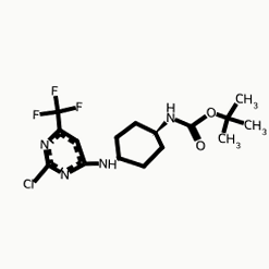 CC(C)(C)OC(=O)N[C@H]1CC[C@@H](Nc2cc(C(F)(F)F)nc(Cl)n2)CC1